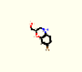 OCC1CNc2ccc(Br)cc2O1